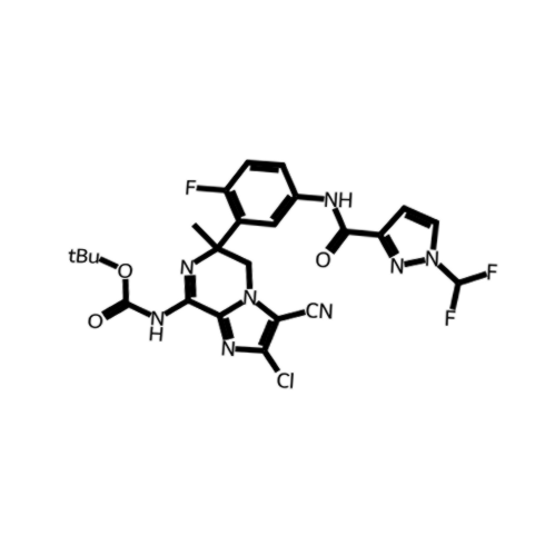 CC(C)(C)OC(=O)NC1=NC(C)(c2cc(NC(=O)c3ccn(C(F)F)n3)ccc2F)Cn2c1nc(Cl)c2C#N